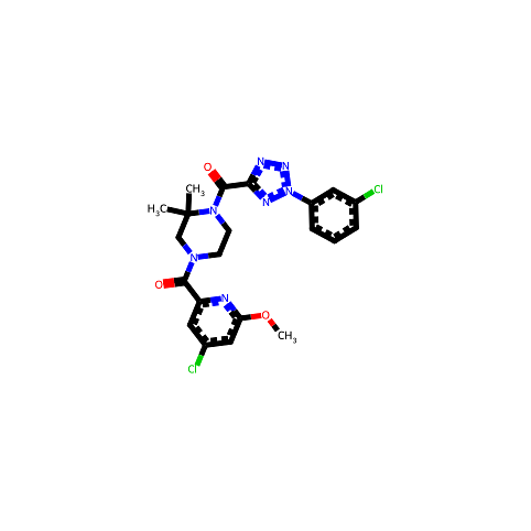 COc1cc(Cl)cc(C(=O)N2CCN(C(=O)c3nnn(-c4cccc(Cl)c4)n3)C(C)(C)C2)n1